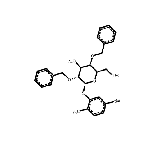 CC(=O)OC[C@H]1O[C@@H](Sc2cc(C(C)(C)C)ccc2C)[C@H](OCc2ccccc2)[C@@H](OC(C)=O)[C@H]1OCc1ccccc1